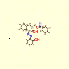 Oc1ccccc1N=Nc1c(O)c(CONc2ccccc2)cc2ccccc12